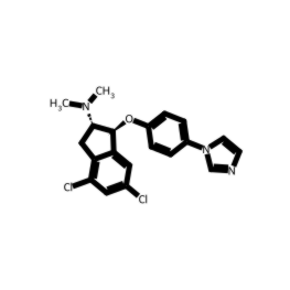 CN(C)[C@H]1Cc2c(Cl)cc(Cl)cc2[C@@H]1Oc1ccc(-n2ccnc2)cc1